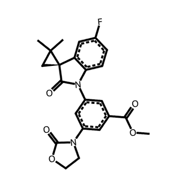 COC(=O)c1cc(N2CCOC2=O)cc(N2C(=O)[C@@]3(CC3(C)C)c3cc(F)ccc32)c1